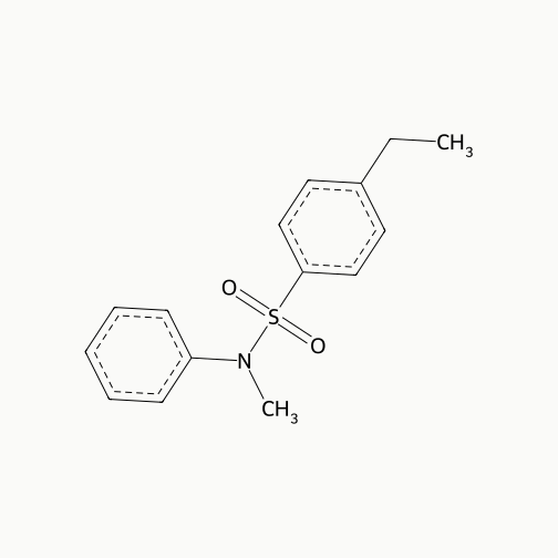 CCc1ccc(S(=O)(=O)N(C)c2ccccc2)cc1